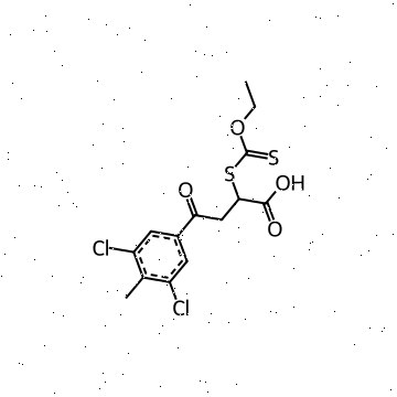 CCOC(=S)SC(CC(=O)c1cc(Cl)c(C)c(Cl)c1)C(=O)O